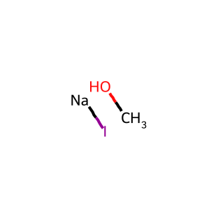 CO.[Na][I]